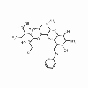 C[C@H](O)C(CN)OC(OC1C(N)C[C@H](N)C(OC2OC(COc3ccccc3)C(O)C(N)C2O)C1O)[C@@H](O)CO